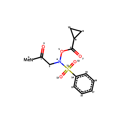 CNC(=O)CN(OC(=O)C1CC1)S(=O)(=O)c1ccccc1